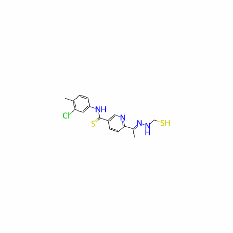 CC(=NNCS)c1ccc(C(=S)Nc2ccc(C)c(Cl)c2)cn1